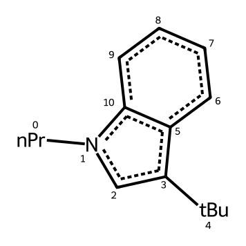 CCCn1cc(C(C)(C)C)c2ccccc21